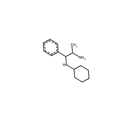 CC(N)C(NC1CCCCC1)c1ccccc1